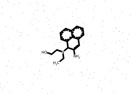 CCN(CCO)C1C(N)=Cc2cccc3cccc1c23